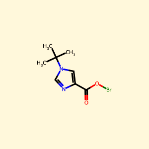 CC(C)(C)n1cnc(C(=O)OBr)c1